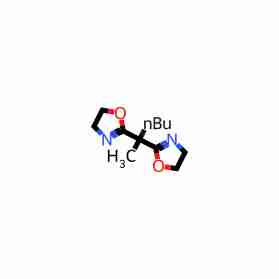 CCCCC(C)(C1=NCCO1)C1=NCCO1